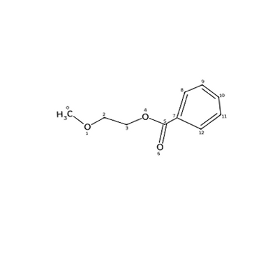 COCCOC(=O)c1ccccc1